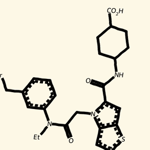 CCN(C(=O)Cn1c(C(=O)NC2CCC(C(=O)O)CC2)cc2sccc21)c1cccc(CC(C)C)c1